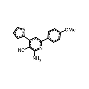 COc1ccc(-c2cc(-c3cccs3)c(C#N)c(N)n2)cc1